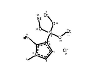 CCCc1n(C)cc[n+]1[Si](OCC)(OCC)OCC.[Cl-]